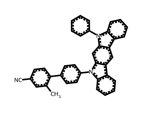 Cc1cc(C#N)ccc1-c1ccc(-n2c3ccccc3c3cc4c5ccccc5n(-c5ccccc5)c4cc32)cc1